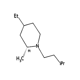 CCC1CCN(CCC(C)C)[C@H](C)C1